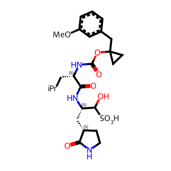 COc1cccc(CC2(OC(=O)N[C@@H](CC(C)C)C(=O)N[C@@H](C[C@@H]3CCNC3=O)C(O)S(=O)(=O)O)CC2)c1